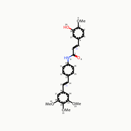 COc1ccc(/C=C/C(=O)Nc2ccc(/C=C/c3cc(OC)c(OC)c(OC)c3)cc2)cc1O